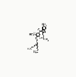 CCCCc1oc2ccc(N)cc2c1C(=O)c1cc(C)c(OCCCN(CCCC)CCCC)c(C)c1.Cl